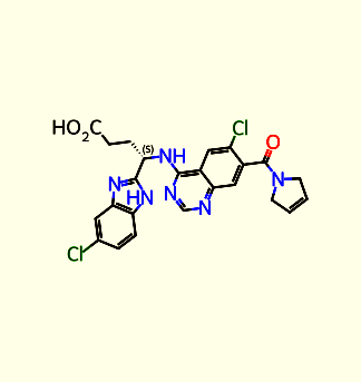 O=C(O)CC[C@H](Nc1ncnc2cc(C(=O)N3CC=CC3)c(Cl)cc12)c1nc2cc(Cl)ccc2[nH]1